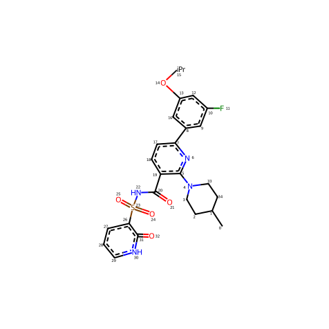 CC1CCN(c2nc(-c3cc(F)cc(OC(C)C)c3)ccc2C(=O)NS(=O)(=O)c2ccc[nH]c2=O)CC1